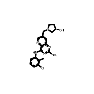 Cc1c(Cl)cccc1Nc1nc(N)nc2cc(CN3CC[C@@H](O)C3)cnc12